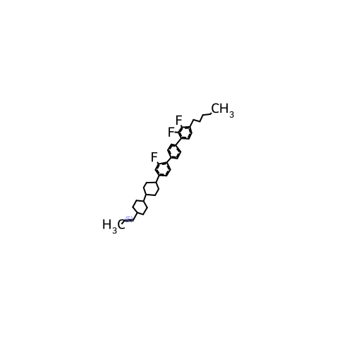 C/C=C/C1CCC(C2CCC(c3ccc(-c4ccc(-c5ccc(CCCCC)c(F)c5F)cc4)c(F)c3)CC2)CC1